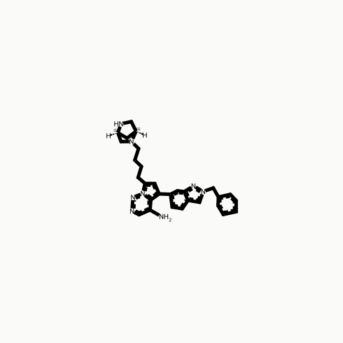 Nc1cnnn2c(CCCCN3C[C@@H]4C[C@H]3CN4)cc(-c3ccc4cn(Cc5ccccc5)nc4c3)c12